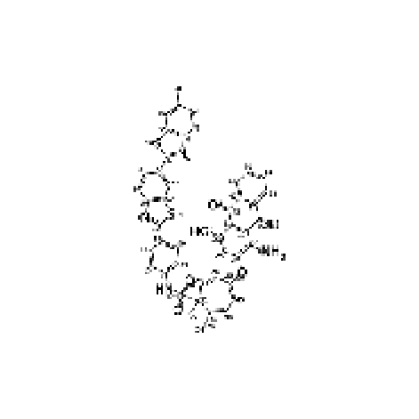 Cc1ccc2nc(-c3ccc4nc(-c5ccc(NS(=O)(=O)C6(C)C=CC(Oc7cc(O)c8c(c7N)C(=O)c7ccccc7C8=O)=CC=C6Br)cc5)sc4c3)sc2c1